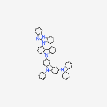 C1=CCC2(C=C1)c1ccccc1N2c1ccc2c(c1)c1cc(-n3c4ccccc4c4c(-n5c6ccccc6n6c7ccccc7nc56)cccc43)ccc1n2-c1ccccc1